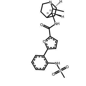 C[C@H]1[C@H](NC(=O)c2ccc(-c3ccccc3NS(C)(=O)=O)o2)C2CCN1CC2